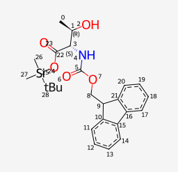 C[C@@H](O)[C@H](NC(=O)OCC1c2ccccc2-c2ccccc21)C(=O)O[Si](C)(C)C(C)(C)C